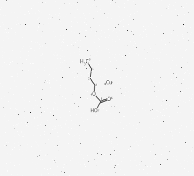 CCCCOC(=O)O.[Cu]